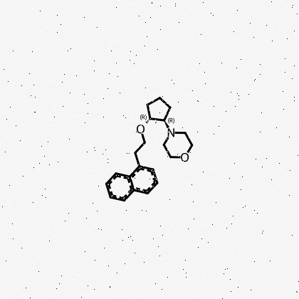 c1ccc2c(CCO[C@@H]3CCC[C@H]3N3CCOCC3)cccc2c1